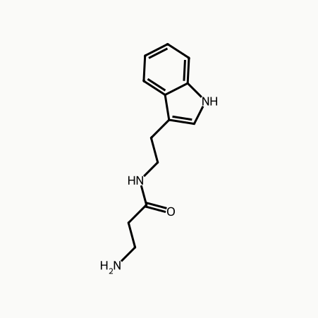 NCCC(=O)NCCc1c[nH]c2ccccc12